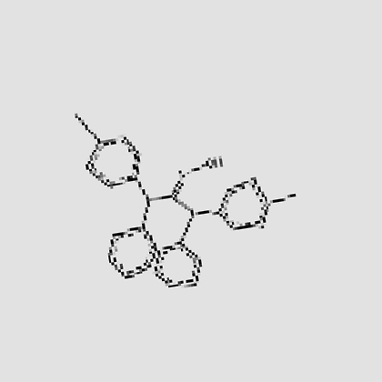 Cc1ccc(C(C(=NO)C(c2ccccc2)c2ccc(C)cc2)c2ccccc2)cc1